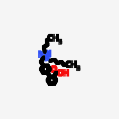 CCCCCCn1nc(CCCC)nc1Cc1ccc(-c2ccccc2C(=O)O)cc1